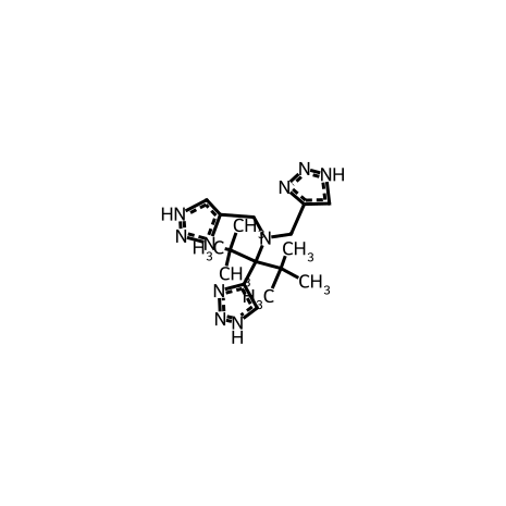 CC(C)(C)C(c1c[nH]nn1)(N(Cc1c[nH]nn1)Cc1c[nH]nn1)C(C)(C)C